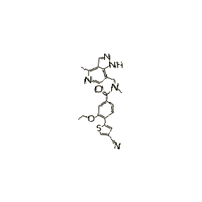 CCOc1cc(C(=O)N(C)Cc2cnc(C)c3cn[nH]c23)ccc1-c1cc(C#N)cs1